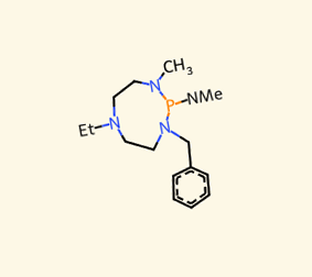 CCN1CCN(C)P(NC)N(Cc2ccccc2)CC1